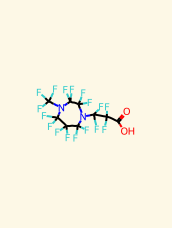 O=C(O)C(F)(F)C(F)(F)N1C(F)(F)C(F)(F)N(C(F)(F)F)C(F)(F)C(F)(F)C1(F)F